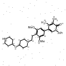 CCCn1cc(-c2cc(OC)c(CCN3CCC(OC4CCNCC4)CC3)c(OC)c2)c(C)c(C)c1=O